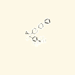 C[C@](O)(c1ccc(C(=O)N(C2CC2)C2CCN([C@H]3CC[C@H](c4ccccc4)CC3)CC2)cc1)C(F)(F)F